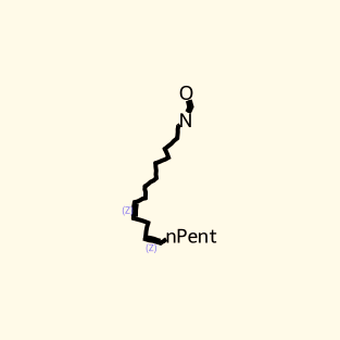 CCCCC/C=C\C/C=C\CCCCCCCCN=C=O